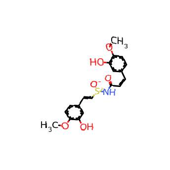 COc1ccc(/C=C\C(=O)N[S+]([O-])/C=C/c2ccc(OC)c(O)c2)cc1O